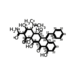 CN(C)[C@@H]1C(O)=C(C(N)=O)C(=O)[C@@]2(O)C(O)=C3C(=O)c4c(O)cccc4/C(=C\c4ccccc4)C3[C@H](O)C12